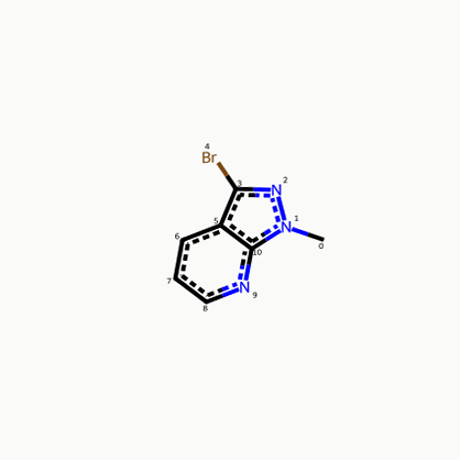 Cn1nc(Br)c2cccnc21